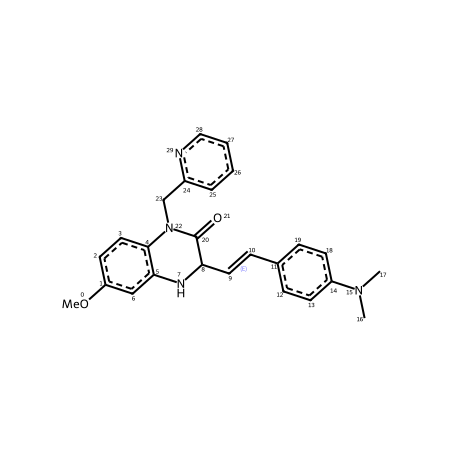 COc1ccc2c(c1)NC(/C=C/c1ccc(N(C)C)cc1)C(=O)N2Cc1ccccn1